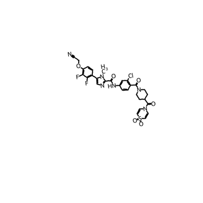 Cn1c(-c2ccc(OCC#N)c(F)c2F)cnc1C(=O)Nc1ccc(C(=O)N2CCC(C(=O)N3C=CS(=O)(=O)C=C3)CC2)c(Cl)c1